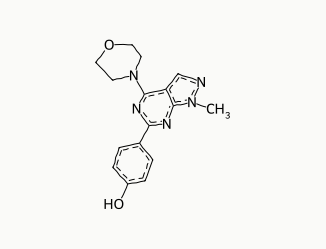 Cn1ncc2c(N3CCOCC3)nc(-c3ccc(O)cc3)nc21